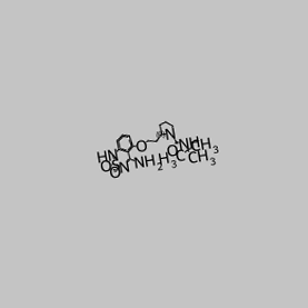 CC(C)(C)NC(=O)N1CCC[C@@H]1CCOc1cccc2c1C(N)=NS(=O)(=O)N2